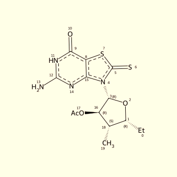 CC[C@H]1O[C@@H](n2c(=S)sc3c(=O)[nH]c(N)nc32)[C@H](OC(C)=O)[C@H]1C